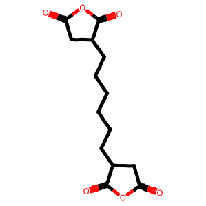 O=C1CC(CCCCCCC2CC(=O)OC2=O)C(=O)O1